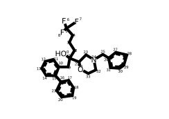 OC(CCCC(F)(F)F)(Cc1ccccc1-c1ccccc1)C1CN(Cc2ccccc2)CCO1